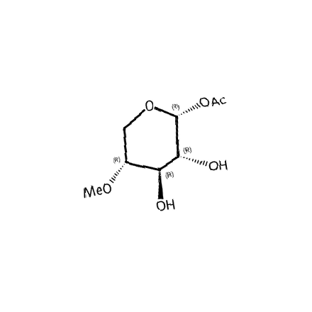 CO[C@@H]1CO[C@H](OC(C)=O)[C@H](O)[C@H]1O